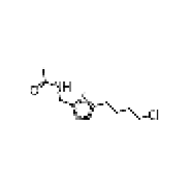 CC(=O)NCc1ccc(CCCCCl)s1